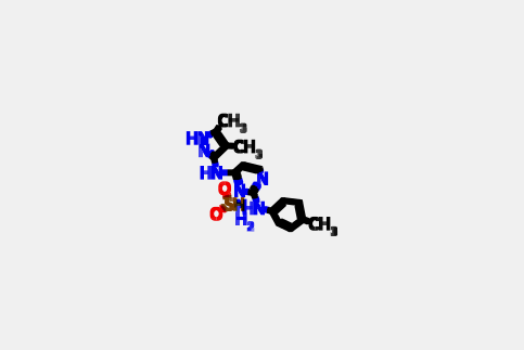 Cc1ccc(Nc2nccc(Nc3n[nH]c(C)c3C)n2)cc1.N[SH](=O)=O